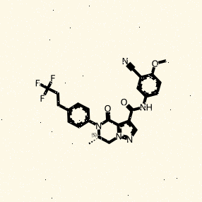 COc1ccc(NC(=O)c2cnn3c2C(=O)N(c2ccc(CCC(F)(F)F)cc2)[C@@H](C)C3)cc1C#N